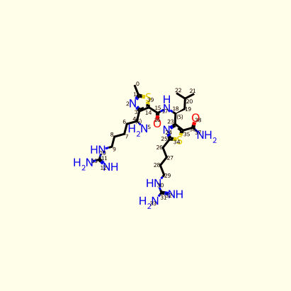 Cc1nc([C@@H](N)CCCCNC(=N)N)c(C(=O)N[C@@H](CC(C)C)c2nc(CCCCNC(=N)N)sc2C(N)=O)s1